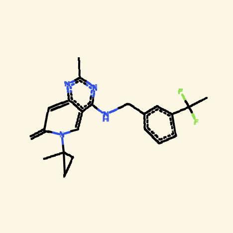 C=C1C=c2nc(C)nc(NCc3cccc(C(C)(F)F)c3)c2=CN1C1(C)CC1